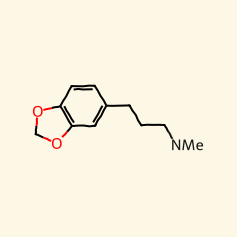 CNCCCc1ccc2c(c1)OCO2